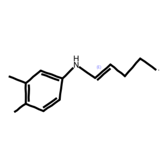 [CH2]CC/C=C/Nc1ccc(C)c(C)c1